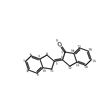 O=C1C(=C2Cc3ccccc3C2)Cc2ccccc21